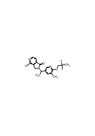 Cc1cc(C(C)N2Cc3c(ccnc3Cl)C2=O)cnc1OCC(C)(F)F